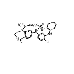 CC(C)N1CCNC(=O)c2ccc(Nc3ncc(Cl)c(N[C@@H]4CCCC[C@H]4NS(C)(=O)=O)n3)cc21